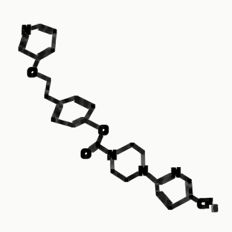 O=C(Oc1ccc(CCOc2cccnc2)cc1)N1CCN(c2ccc(C(F)(F)F)cn2)CC1